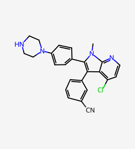 Cn1c(-c2ccc(N3CCNCC3)cc2)c(-c2cccc(C#N)c2)c2c(Cl)ccnc21